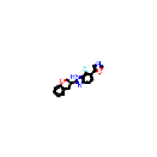 Fc1c(-c2cnco2)ccc2nc(C3COc4ccccc4C3)[nH]c12